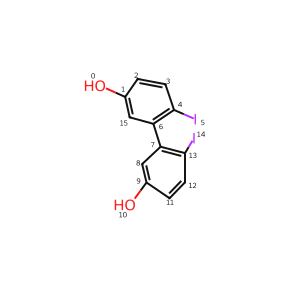 Oc1ccc(I)c(-c2cc(O)ccc2I)c1